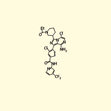 CCC(=O)N1CCCC(c2nc(-c3ccc(C(=O)Nc4cc(C(F)(F)F)ccn4)cc3Cl)c3c(N)ncc(Cl)n23)C1